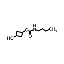 CCCCNC(=O)OC1CC(O)C1